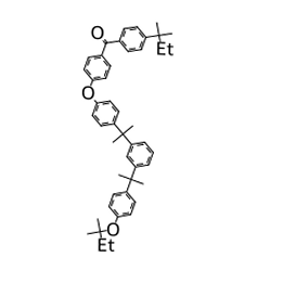 CCC(C)(C)Oc1ccc(C(C)(C)c2cccc(C(C)(C)c3ccc(Oc4ccc(C(=O)c5ccc(C(C)(C)CC)cc5)cc4)cc3)c2)cc1